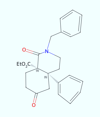 CCOC(=O)[C@@]12CCC(=O)C[C@]1(c1ccccc1)CCN(Cc1ccccc1)C2=O